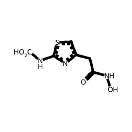 O=C(O)Nc1nc(CC(=O)NO)cs1